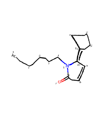 CC(=O)CCCCN1C(=O)C=CC1=C1CCC1